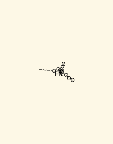 CCCCCCCCCCCCOCCCN(C=O)c1[nH]c2ccc(OCCOCCOC)cc2c1N=Nc1ccc(OC)cc1